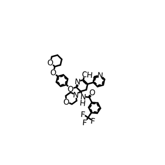 CC1=C(c2cccnc2)CC(NC(=O)c2cccc(C(F)(F)F)c2)(N2CCOCC2)C(Oc2ccc(OC3CCCCO3)cc2)=N1